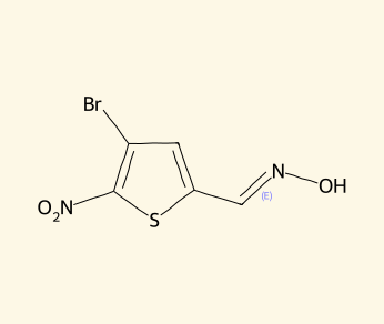 O=[N+]([O-])c1sc(/C=N/O)cc1Br